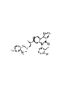 CN(C[C@H]1CN(C)c2cc(F)ccc2O1)c1ncc2c3n[nH]cc3c(=O)n(-c3cccc(F)c3F)c2n1